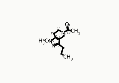 CCCc1nn(C)c2c1CN(C(C)=O)CC2